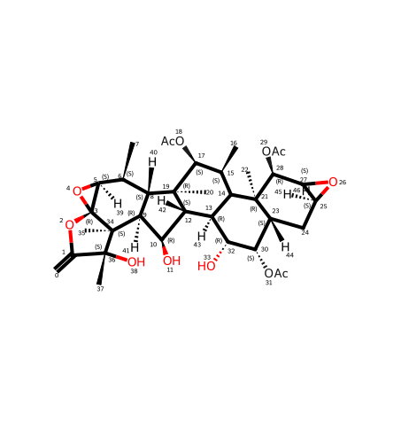 C=C1O[C@@]23O[C@H]2[C@@H](C)[C@H]2[C@@H]([C@H](O)[C@H]4[C@H]5C([C@H](C)[C@H](OC(C)=O)[C@@]42C)[C@]2(C)[C@H](C[C@@H]4O[C@@H]4[C@@H]2OC(C)=O)[C@H](OC(C)=O)[C@@H]5O)[C@@]3(C)[C@]1(C)O